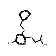 CC(=O)O[C@H](C)COc1ncc(C(F)(F)F)cc1SCc1ccccc1